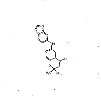 CCN1CC(C)(C)OC(=O)C1CC(=O)Nc1ccc2scnc2c1